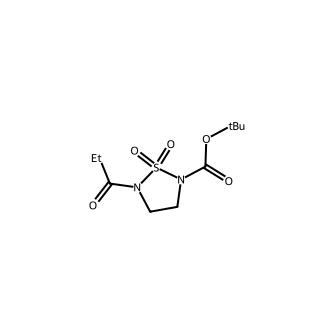 CCC(=O)N1CCN(C(=O)OC(C)(C)C)S1(=O)=O